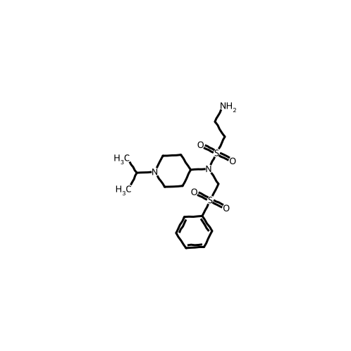 CC(C)N1CCC(N(CS(=O)(=O)c2ccccc2)S(=O)(=O)CCN)CC1